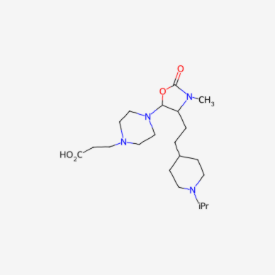 CC(C)N1CCC(CCC2C(N3CCN(CCC(=O)O)CC3)OC(=O)N2C)CC1